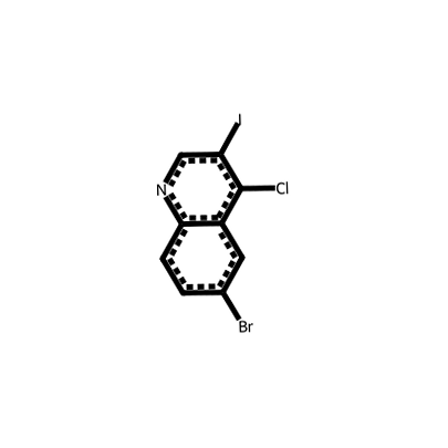 Clc1c(I)cnc2ccc(Br)cc12